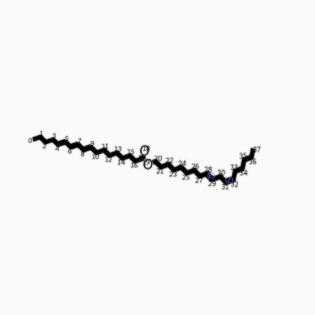 CCCCC=CC=CC=CCCCCCCCC(=O)OCCCCCCCC/C=C/C/C=C\CCCCC